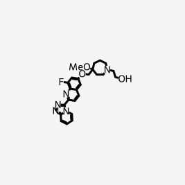 COC1(COc2cc(F)c3nc(-c4nnc5ccccn45)ccc3c2)CCCN(CCO)CC1